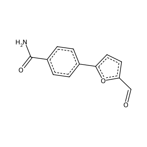 NC(=O)c1ccc(-c2ccc(C=O)o2)cc1